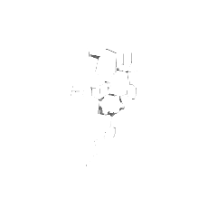 COCCOc1cc(O)c2c(c1)OC(C)(C)[C@@H]1CCC(=O)C[C@@H]21